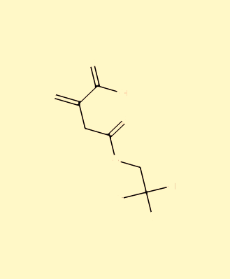 C=C(CC(=O)OCC(Cl)(Cl)Cl)C(=O)O